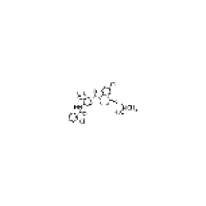 COc1cc(C(=O)N2CCCC(OCCN(C)C)c3cc(Cl)ccc32)ccc1NC(=O)c1ccccc1Cl